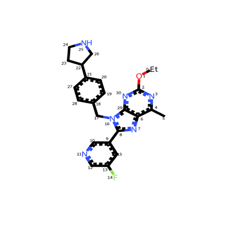 CCOc1nc(C)c2nc(-c3cncc(F)c3)n(Cc3ccc(C4CCNC4)cc3)c2n1